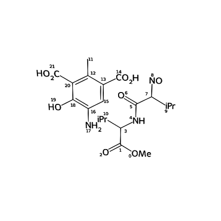 COC(=O)C(NC(=O)C(N=O)C(C)C)C(C)C.Cc1c(C(=O)O)cc(N)c(O)c1C(=O)O